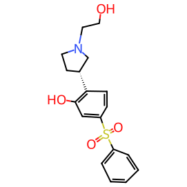 O=S(=O)(c1ccccc1)c1ccc([C@@H]2CCN(CCO)C2)c(O)c1